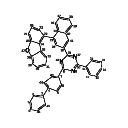 c1ccc(-c2ccc(-c3nc(-c4ccccc4)nc(-c4cc(-c5cccc6oc7ccccc7c56)c5ccccc5c4)n3)cc2)cc1